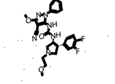 COCCN1C[C@@H](NC(=O)Nc2c(C#N)c(OC)nn2-c2ccccc2)[C@H](c2ccc(F)c(F)c2)C1